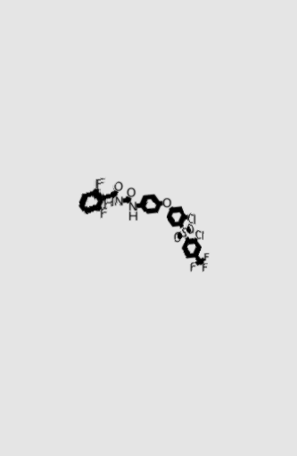 O=C(NC(=O)c1c(F)cccc1F)Nc1ccc(Oc2ccc(S(=O)(=O)c3ccc(C(F)(F)F)cc3Cl)c(Cl)c2)cc1